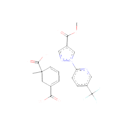 CC1(C(=O)O)C=CC=C(C(=O)O)C1.COC(=O)c1cnn(-c2ccc(C(F)(F)F)cn2)c1